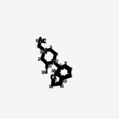 CC(=O)CN1CCN(c2cccc3ccoc23)C(I)C1